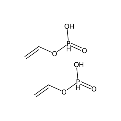 C=CO[PH](=O)O.C=CO[PH](=O)O